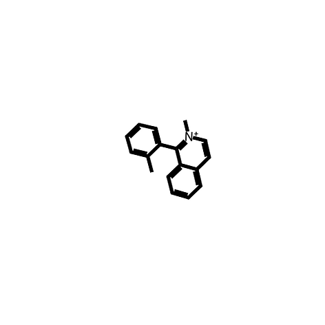 Cc1ccccc1-c1c2ccccc2cc[n+]1C